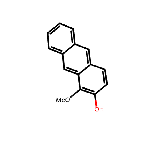 COc1c(O)ccc2cc3ccccc3cc12